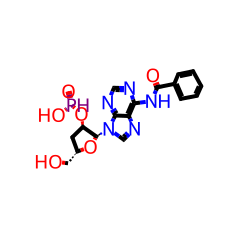 O=C(Nc1ncnc2c1ncn2[C@@H]1O[C@H](CO)C[C@H]1O[PH](=O)O)c1ccccc1